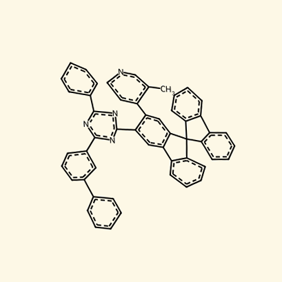 Cc1cnccc1-c1cc2c(cc1-c1nc(-c3ccccc3)nc(-c3cccc(-c4ccccc4)c3)n1)-c1ccccc1C21c2ccccc2-c2ccccc21